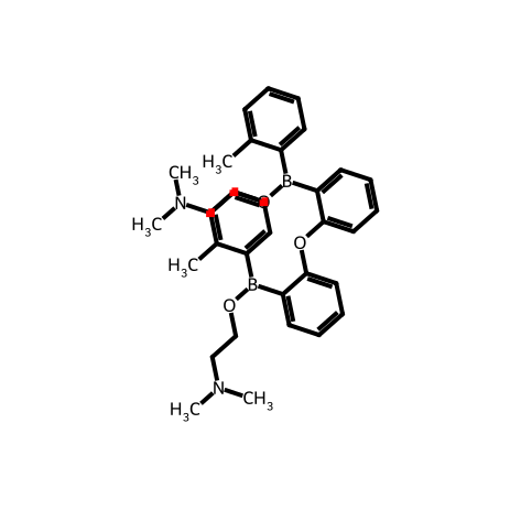 Cc1ccccc1B(OCCN(C)C)c1ccccc1Oc1ccccc1B(OCCN(C)C)c1ccccc1C